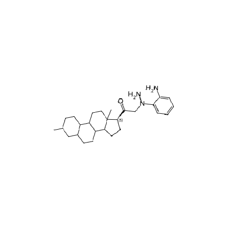 CC1CCC2C(CCC3C2CCC2(C)C3CC[C@@H]2C(=O)CN(N)c2ccccc2N)C1